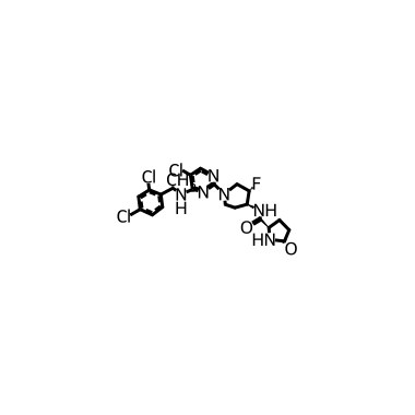 C[C@@H](Nc1nc(N2CC[C@H](NC(=O)[C@H]3CCC(=O)N3)[C@@H](F)C2)ncc1Cl)c1ccc(Cl)cc1Cl